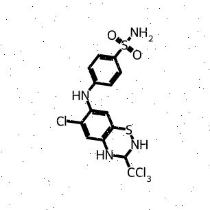 NS(=O)(=O)c1ccc(Nc2cc3c(cc2Cl)NC(C(Cl)(Cl)Cl)NS3)cc1